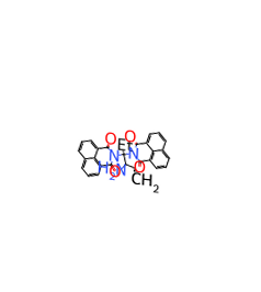 C=CC(N)C(CC)(N1C(=O)c2cccc3cccc(c23)C1=O)N1C(=O)c2cccc3cccc(c23)C1=O